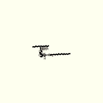 C.CCCC.CCCCC.CCCCCCCC.CCCCCCCCCC.CCCCCCCCCCCCCC.CCCCCCCCCCCCCCCCC.c1cc[o+]cc1.c1cocn1.c1nnn[nH]1